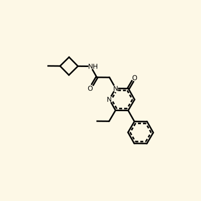 CCc1nn(CC(=O)NC2CC(C)C2)c(=O)cc1-c1ccccc1